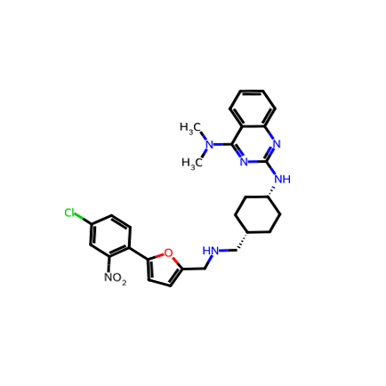 CN(C)c1nc(N[C@H]2CC[C@@H](CNCc3ccc(-c4ccc(Cl)cc4[N+](=O)[O-])o3)CC2)nc2ccccc12